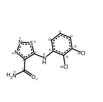 NC(=O)c1nnsc1Nc1cccc(Cl)c1Cl